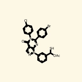 CC(=O)OC(S)c1cccc(-n2ncc3c(=O)n(-c4ccc(Cl)cc4)c(-c4ccc(Br)cc4)nc32)c1